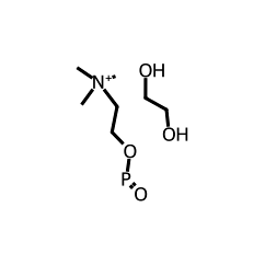 C[N+](C)(C)CCOP=O.OCCO